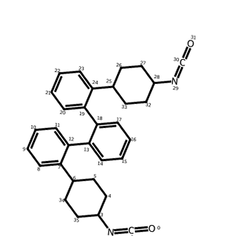 O=C=NC1CCC(c2ccccc2-c2ccccc2-c2ccccc2C2CCC(N=C=O)CC2)CC1